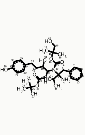 CC(O)C(N)(Cc1ccccc1)N(C(=O)OC(C)(C)CO)C(NC(=O)OC(C)(C)C)C(O)CCc1ccc(O)cc1